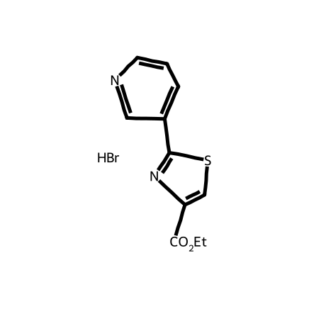 Br.CCOC(=O)c1csc(-c2cccnc2)n1